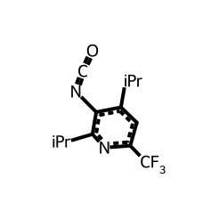 CC(C)c1cc(C(F)(F)F)nc(C(C)C)c1N=C=O